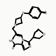 O=c1[nH]c(CN2CC(Oc3ccc(F)cc3)C2)cn2c(C3CCOC3)ncc12